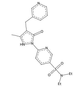 CCN(CC)S(=O)(=O)c1ccc(-n2[nH]c(C)c(Cc3cccnc3)c2=O)nc1